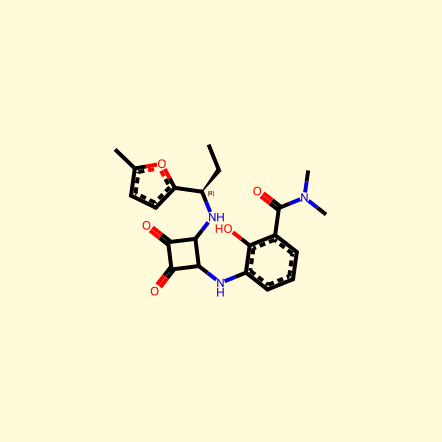 CC[C@@H](NC1C(=O)C(=O)C1Nc1cccc(C(=O)N(C)C)c1O)c1ccc(C)o1